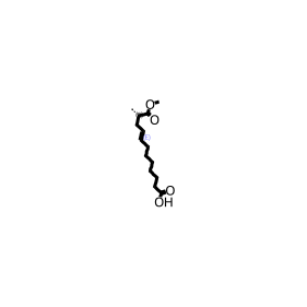 COC(=O)[C@@H](C)C/C=C/CCCCCCC(=O)O